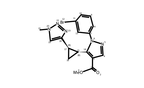 COC(=O)c1cnn(-c2cccc(Br)c2)c1[C@@H]1C[C@H]1c1cn(C)nn1